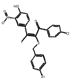 O=C(C(SCc1ccc(Cl)cc1)=C(I)c1ccc(O)c([N+](=O)[O-])c1)c1ccc(Cl)cc1